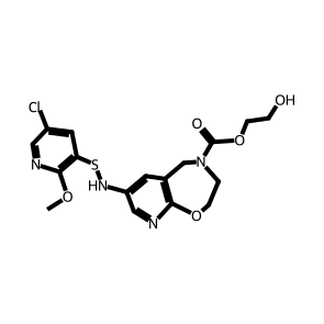 COc1ncc(Cl)cc1SNc1cnc2c(c1)CN(C(=O)OCCO)CCO2